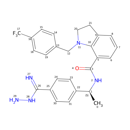 C[C@H](NC(=O)c1cccc2c1N(Cc1ccc(C(F)(F)F)cc1)CC2)c1ccc(C(=N)NN)cc1